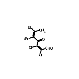 CC/C(C)=C(/C(=O)/C(Cl)=C(/Cl)C=O)C(C)C